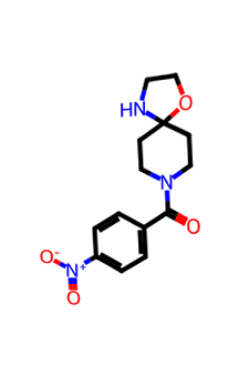 O=C(c1ccc([N+](=O)[O-])cc1)N1CCC2(CC1)NCCO2